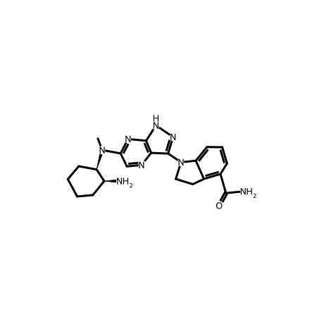 CN(c1cnc2c(N3CCc4c(C(N)=O)cccc43)n[nH]c2n1)[C@@H]1CCCC[C@@H]1N